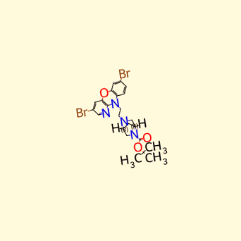 CC(C)(C)OC(=O)N1C[C@H]2C[C@@H]1CN2CCN1c2ccc(Br)cc2Oc2cc(Br)cnc21